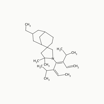 C=C/C(=C(\C(=C/C)C(C)C)N1CC2(CCC3CC(CC)CC2C3)CC1(C)C)C(C)C